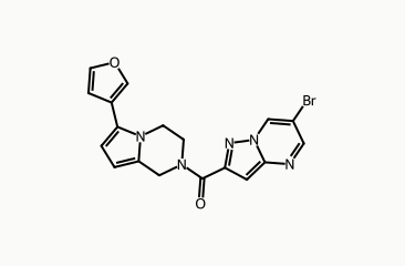 O=C(c1cc2ncc(Br)cn2n1)N1CCn2c(ccc2-c2ccoc2)C1